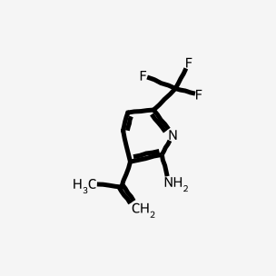 C=C(C)c1ccc(C(F)(F)F)nc1N